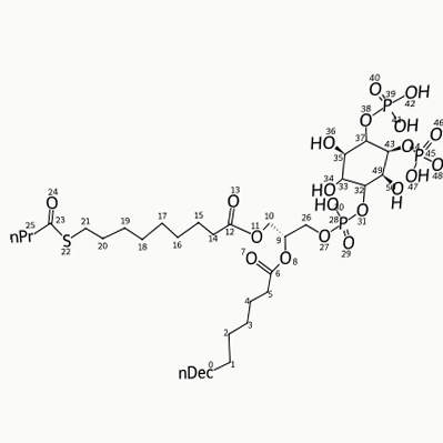 CCCCCCCCCCCCCCCC(=O)O[C@H](COC(=O)CCCCCCCCSC(=O)CCC)COP(=O)(O)OC1C(O)[C@@H](O)C(OP(=O)(O)O)[C@@H](OP(=O)(O)O)[C@H]1O